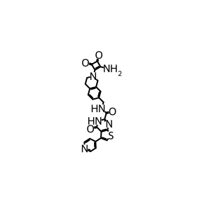 Nc1c(N2CCc3ccc(CNC(=O)c4nc5scc(-c6ccncc6)c5c(=O)[nH]4)cc3C2)c(=O)c1=O